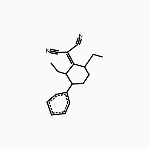 CCC1CCC(c2ccccc2)C(CC)C1=C(C#N)C#N